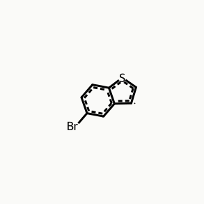 Brc1ccc2sc[c]c2c1